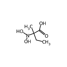 CCC(C)(C(=O)O)N(O)O